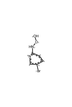 OONc1ccc(Br)cn1